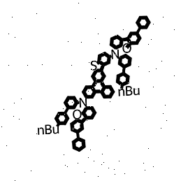 CCCCc1ccc(-c2cccc(N(c3ccc4sc5cc6c7ccc(N(c8cccc(-c9ccc(CCCC)cc9)c8)c8cccc9c8oc8ccc(-c%10ccccc%10)cc89)cc7c7ccccc7c6cc5c4c3)c3cccc4c3oc3ccc(-c5ccccc5)cc34)c2)cc1